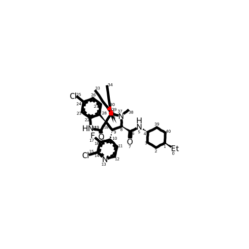 CC[C@H]1CC[C@H](NC(=O)[C@H]2[C@H](c3ccnc(Cl)c3F)[C@]3(C(=O)Nc4cc(Cl)ccc43)C3(CCC(C)(C)CC3)N2C)CC1